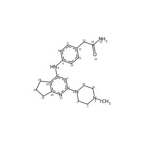 CN1CCN(c2cc(Nc3ccc(CC(N)=O)cc3)c3c(n2)CCC3)CC1